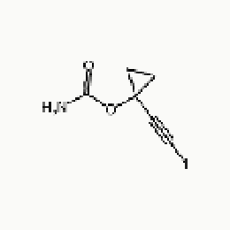 NC(=O)OC1(C#CI)CC1